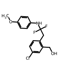 COc1ccc(NC(F)(F)Cc2ccc(Cl)cc2CO)cc1